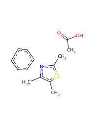 CC(=O)O.Cc1nc(C)c(C)s1.c1ccccc1